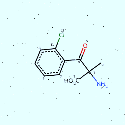 CC(N)(C(=O)O)C(=O)c1ccccc1Cl